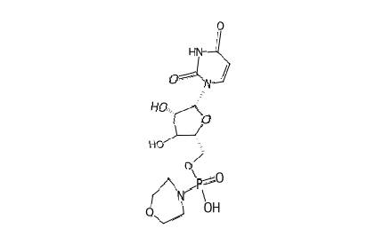 O=c1ccn([C@@H]2O[C@H](COP(=O)(O)N3CCOCC3)C(O)[C@@H]2O)c(=O)[nH]1